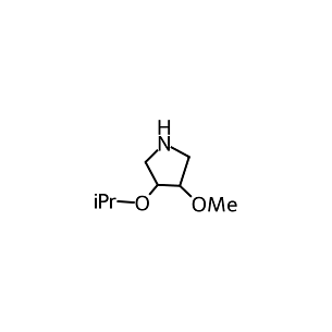 COC1CNCC1OC(C)C